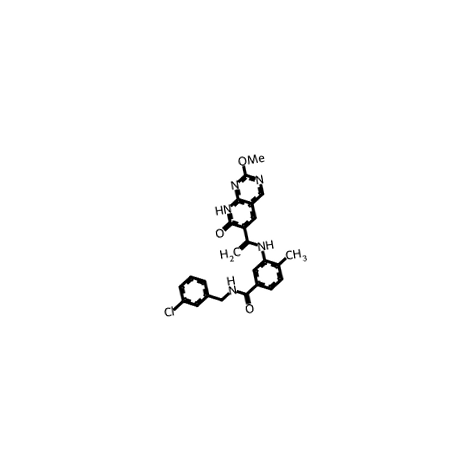 C=C(Nc1cc(C(=O)NCc2cccc(Cl)c2)ccc1C)c1cc2cnc(OC)nc2[nH]c1=O